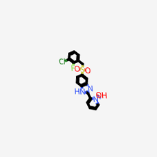 O=S(=O)(Cc1cccc(Cl)c1F)c1ccc2[nH]c(-c3cccc[n+]3O)nc2c1